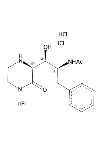 CCCN1CCN[C@@H]([C@@H](O)[C@H](Cc2ccccc2)NC(C)=O)C1=O.Cl.Cl